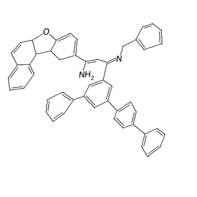 N/C(=C\C(=N/Cc1ccccc1)c1cc(-c2ccccc2)cc(-c2ccc(-c3ccccc3)cc2)c1)C1=CC=C2OC3C=Cc4ccccc4C3C2C1